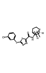 C[C@H]1[C@H](NC(=O)c2nnc(Sc3cccc(Cl)c3)s2)C2CCN1CC2